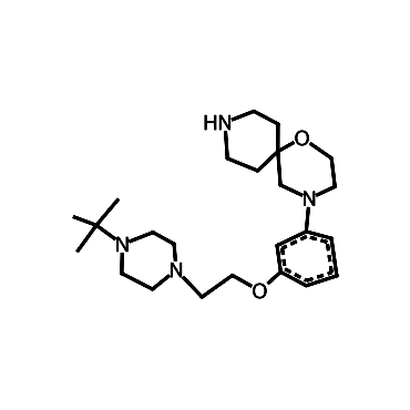 CC(C)(C)N1CCN(CCOc2cccc(N3CCOC4(CCNCC4)C3)c2)CC1